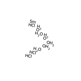 Cl.Cl.Cl.O.O.O.O.O.O.[Sm]